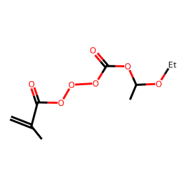 C=C(C)C(=O)OOOC(=O)OC(C)OCC